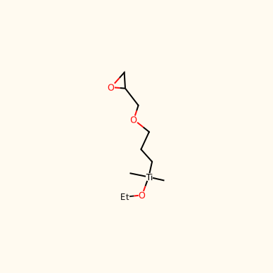 CC[O][Ti]([CH3])([CH3])[CH2]CCOCC1CO1